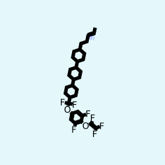 C/C=C/CCC1CCC(C2CCC(C3CCC(C(F)(F)Oc4cc(F)c(OC(F)=C(F)F)c(F)c4)CC3)CC2)CC1